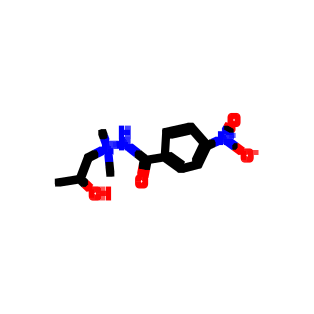 CC(O)C[N+](C)(C)NC(=O)c1ccc([N+](=O)[O-])cc1